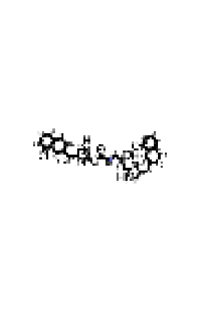 Cc1cccc2c1C=C(CC1CNC(OC(=O)/C=C/C(=O)OC3=NC(CC4=Cc5c(C)cccc5CC4)CN3)=N1)CC2